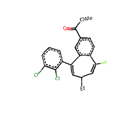 CCC1C=C(F)c2ccc(C(=O)OC)cc2C(c2cccc(Cl)c2Cl)=C1